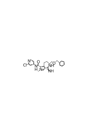 Cn1cc2c(c1C(=O)Nc1ccnc(Cl)c1)CCC(COCc1ccccc1)NS2=N